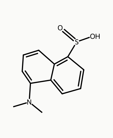 CN(C)c1cccc2c(S(=O)O)cccc12